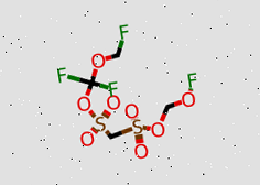 O=S(=O)(CS(=O)(=O)OC(F)(F)OCF)OCOF